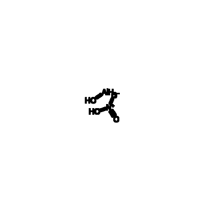 O=[N+]([O-])O.[OH][AlH2]